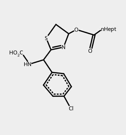 CCCCCCCC(=O)OC1CSC(C(NC(=O)O)c2ccc(Cl)cc2)=N1